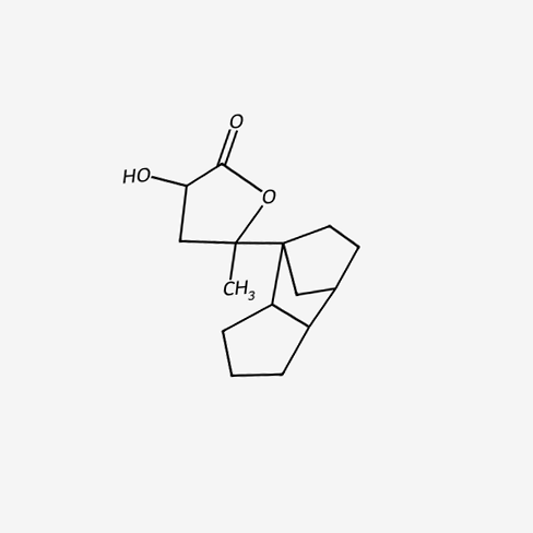 CC1(C23CCC(C2)C2CCCC23)CC(O)C(=O)O1